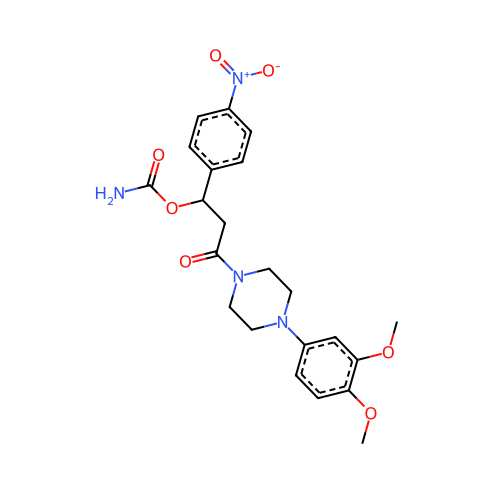 COc1ccc(N2CCN(C(=O)CC(OC(N)=O)c3ccc([N+](=O)[O-])cc3)CC2)cc1OC